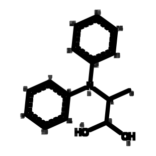 CC(C(O)O)N(c1ccccc1)c1ccccc1